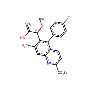 C=C(O)[C@@H](OC(C)(C)C)c1c(C)cc2nc(C(=O)OCC)ccc2c1-c1ccc(Cl)cc1